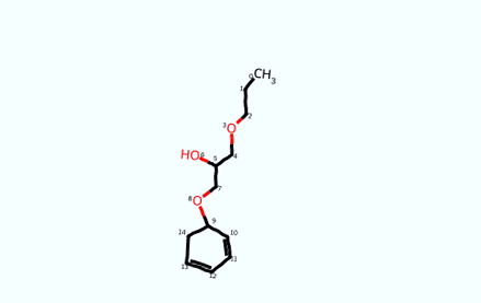 CCCOCC(O)COC1C=CC=CC1